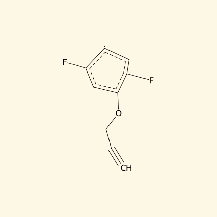 C#CCOc1cc(F)[c]cc1F